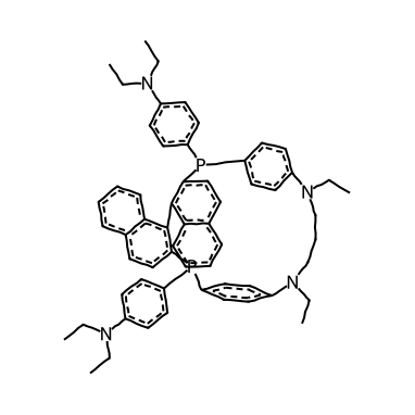 CCN(CC)c1ccc(P2c3ccc(cc3)N(CC)CCCN(CC)c3ccc(cc3)P(c3ccc(N(CC)CC)cc3)c3ccc4ccccc4c3-c3c2ccc2ccccc32)cc1